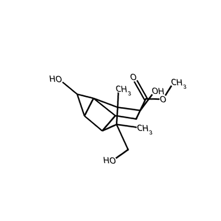 COC(=O)CC1C2C3C(O)C13C(C)(CO)C2(C)CO